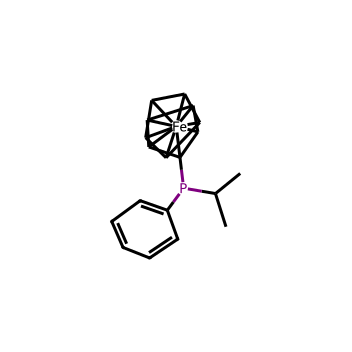 CC(C)P(c1ccccc1)[C]12[CH]3[CH]4[CH]5[CH]1[Fe]45321678[CH]2[CH]1[CH]6[CH]7[CH]28